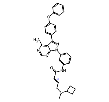 CN(C/C=C/C(=O)Nc1cccc(-n2nc(-c3ccc(Oc4ccccc4)cc3)c3c(N)ncnc32)c1)C1CCC1